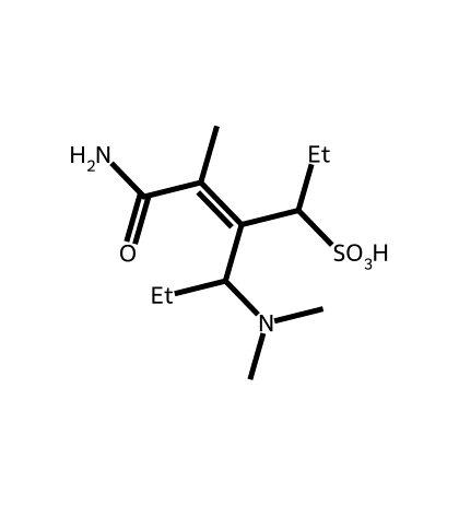 CCC(C(=C(C)C(N)=O)C(CC)S(=O)(=O)O)N(C)C